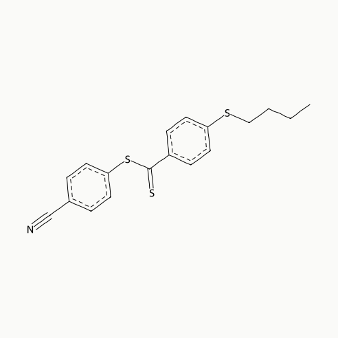 CCCCSc1ccc(C(=S)Sc2ccc(C#N)cc2)cc1